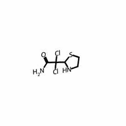 NC(=O)C(Cl)(Cl)C1NCCS1